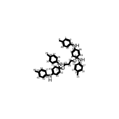 Cc1ccc(NC2=CCC(Nc3ccc(C)cc3)(OCCCOC3(Nc4ccc(C)cc4)C=CC(Nc4ccc(C)cc4)=CC3)C=C2)cc1